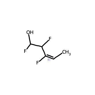 C/C=C(/F)C(F)C(O)F